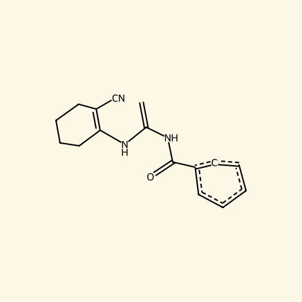 C=C(NC(=O)c1ccccc1)NC1=C(C#N)CCCC1